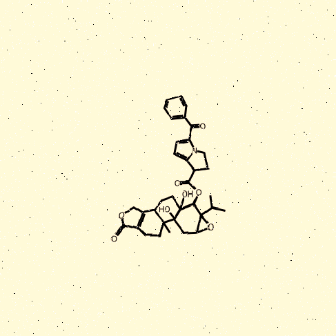 CC(C)C12OC1CC1(O)C3(C)CCC4=C(COC4=O)C3CCC1(O)C2OC(=O)C1CCn2c(C(=O)c3ccccc3)ccc21